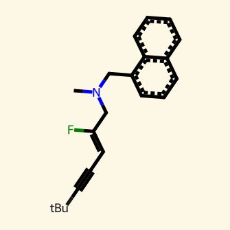 CN(CC(F)=CC#CC(C)(C)C)Cc1cccc2ccccc12